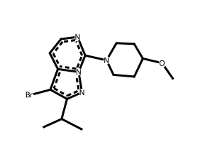 COC1CCN(c2nccc3c(Br)c(C(C)C)nn23)CC1